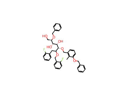 Cc1c(CO[C@H](C(Cc2ccccc2F)OCc2ccccc2F)[C@@H](O)[C@H](O)[C@@H](CO)OCc2ccccc2)cccc1OCc1ccccc1